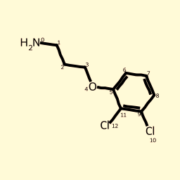 NCCCOc1cccc(Cl)c1Cl